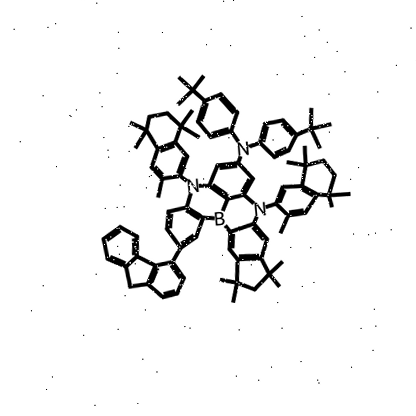 Cc1cc2c(cc1N1c3ccc(-c4cccc5c4-c4ccccc4C5)cc3B3c4cc5c(cc4N(c4cc6c(cc4C)C(C)(C)CCC6(C)C)c4cc(N(c6ccc(C(C)(C)C)cc6)c6ccc(C(C)(C)C)cc6)cc1c43)C(C)(C)CC5(C)C)C(C)(C)CCC2(C)C